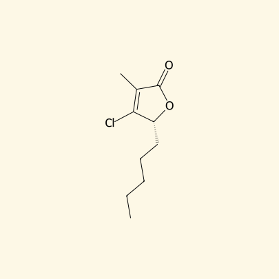 CCCCC[C@H]1OC(=O)C(C)=C1Cl